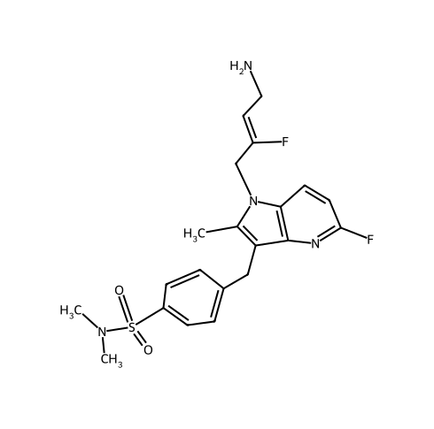 Cc1c(Cc2ccc(S(=O)(=O)N(C)C)cc2)c2nc(F)ccc2n1CC(F)=CCN